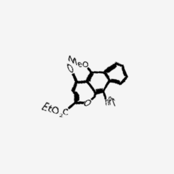 CCCc1c2ccccc2c(OC)c2c(=O)cc(C(=O)OCC)oc12